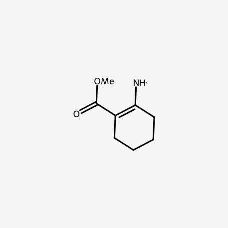 COC(=O)C1=C([NH])CCCC1